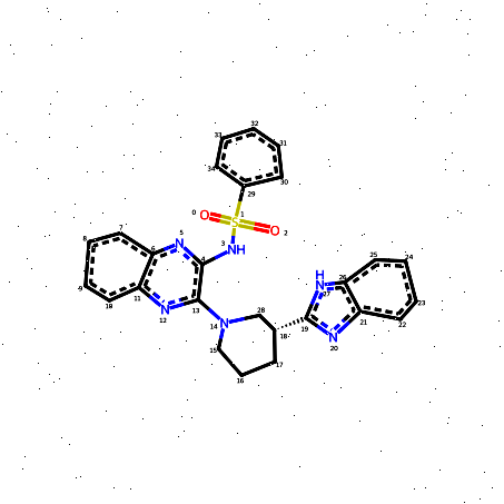 O=S(=O)(Nc1nc2ccccc2nc1N1CCC[C@@H](c2nc3ccccc3[nH]2)C1)c1ccccc1